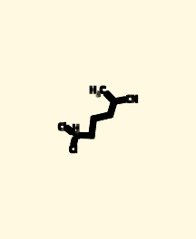 CC(C#N)CCC[SiH](Cl)Cl